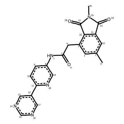 Cc1cc(CC(=O)Nc2ccc(-c3cncnc3)nc2)c2c(c1)C(=O)N(C)C2=O